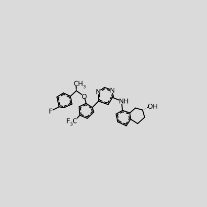 C[C@@H](Oc1cc(C(F)(F)F)ccc1-c1cc(Nc2cccc3c2C[C@H](O)CC3)ncn1)c1ccc(F)cc1